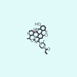 C=CC(=O)N1CCN(c2nc(=O)n(-c3c(C)ccnc3C(C)C)c3c2cc(Cl)c2c4c(F)ccc(O)c4[nH]c(=O)c23)[C@@H](C)C1